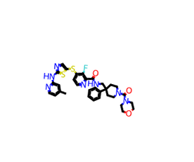 Cc1ccnc(Nc2ncc(Sc3ccnc(C(=O)NCC4(c5ccccc5)CCN(C(=O)N5CCOCC5)CC4)c3F)s2)c1